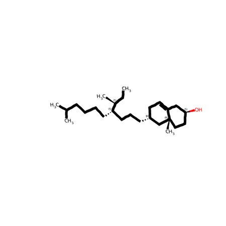 CC[C@H](C)[C@@H](CCCCC(C)C)CCC[C@@H]1CC=C2C[C@@H](O)CC[C@]2(C)C1